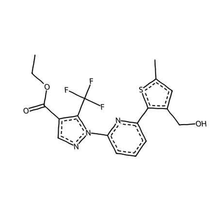 CCOC(=O)c1cnn(-c2cccc(-c3sc(C)cc3CO)n2)c1C(F)(F)F